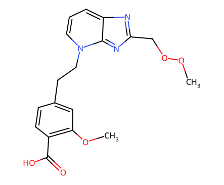 COOCc1nc2cccn(CCc3ccc(C(=O)O)c(OC)c3)c-2n1